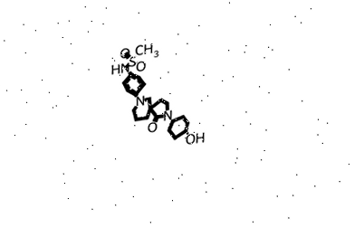 CS(=O)(=O)Nc1ccc(N2CCCC3(CCN([C@H]4CC[C@H](O)CC4)C3=O)C2)cc1